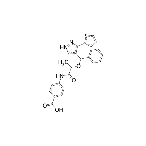 CC(OC(c1ccccc1)c1c[nH]nc1-c1cccs1)C(=O)Nc1ccc(C(=O)O)cc1